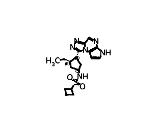 CC[C@@H]1C[C@H](NS(=O)(=O)C2CCC2)C[C@H]1c1nnc2cnc3[nH]ccc3n12